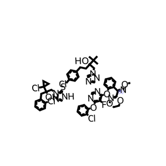 CC(C)(C)C(O)(CCc1ccc(Cl)cc1)Cn1cncn1.CO/N=C(/C1=NOCCO1)c1ccccc1Oc1ncnc(Oc2ccccc2Cl)c1F.OC(Cc1ccccc1Cl)(Cn1nc[nH]c1=S)C1(Cl)CC1